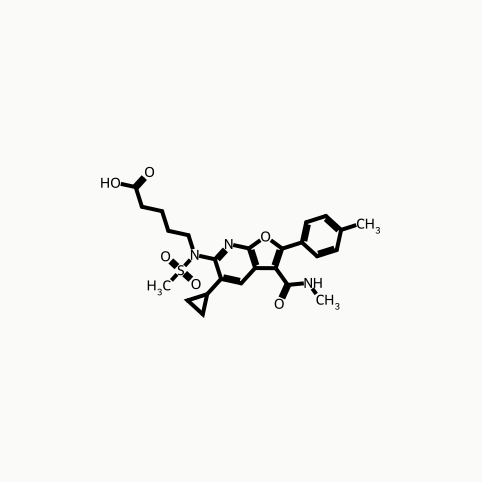 CNC(=O)c1c(-c2ccc(C)cc2)oc2nc(N(CCCCC(=O)O)S(C)(=O)=O)c(C3CC3)cc12